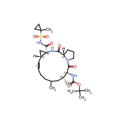 CC1CC/C=C\[C@@H]2C[C@@]2(C(=O)NS(=O)(=O)C2(C)CC2)NC(=O)[C@@H]2C[CH]CN2C(=O)[C@@H](NC(=O)OC(C)(C)C)[C@H](C)C1